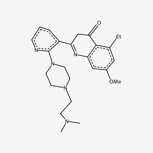 CCc1cc(OC)cc2c1C(=O)CC(c1cccnc1N1CCN(CCN(C)C)CC1)=N2